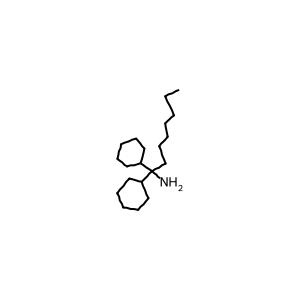 CCCCCCCC(N)(C1CCCCC1)C1CCCCC1